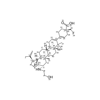 C=C(C)[C@@H]1CC[C@]2(NCCO)CC[C@]3(C)[C@H](CC[C@@H]4[C@@]5(C)CC=C(C6=CC[C@@](CF)(C(=O)O)CC6)C(C)(C)[C@@H]5CC[C@]43C)[C@@H]12